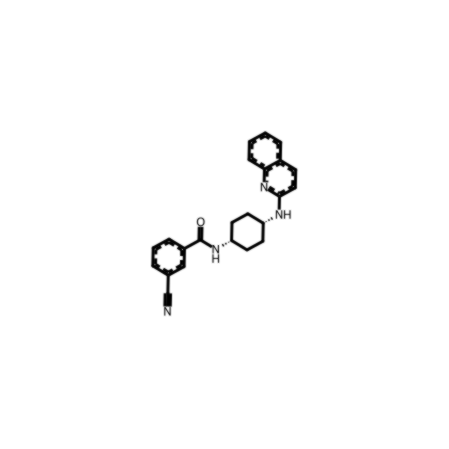 N#Cc1cccc(C(=O)N[C@H]2CC[C@@H](Nc3ccc4ccccc4n3)CC2)c1